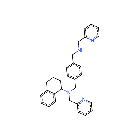 c1ccc(CNCc2ccc(CN(Cc3ccccn3)C3CCCc4ccccc43)cc2)nc1